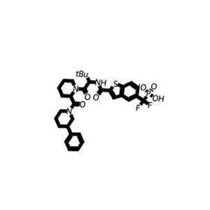 CC(C)(C)C(NC(=O)c1cc2cc(C(F)(F)P(=O)(O)O)ccc2s1)C(=O)N1CCCCC1C(=O)N1CCCC(c2ccccc2)C1